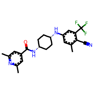 Cc1cc(C(=O)N[C@H]2CC[C@@H](Nc3cc(C)c(C#N)c(C(F)(F)F)c3)CC2)cc(C)n1